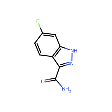 NC(=O)c1n[nH]c2cc(F)ccc12